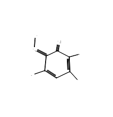 N=C1C(Br)=C(F)C=C(Br)/C1=N/S